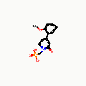 COc1ccccc1-c1ccn(CP(=O)(O)O)c(=O)c1